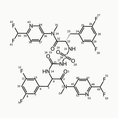 CN(C(=O)C(Cc1cc(F)cc(F)c1)NC(=O)NS(=O)(=O)N[C@@H](Cc1cc(F)cc(F)c1)C(=O)N(C)c1ccc(C(F)F)nc1)c1ccc(C(F)F)nc1